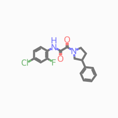 O=C(Nc1ccc(Cl)cc1F)C(=O)N1CCC(c2ccccc2)C1